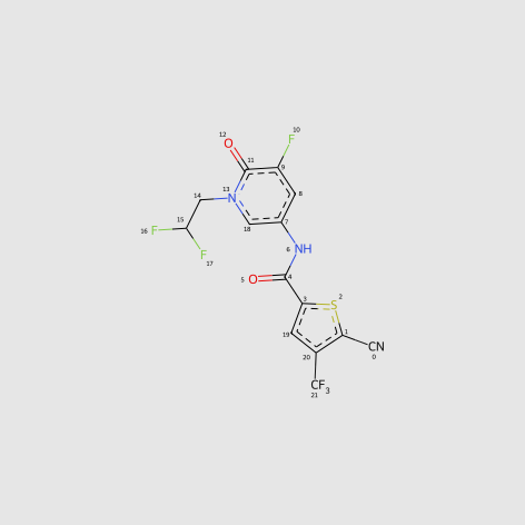 N#Cc1sc(C(=O)Nc2cc(F)c(=O)n(CC(F)F)c2)cc1C(F)(F)F